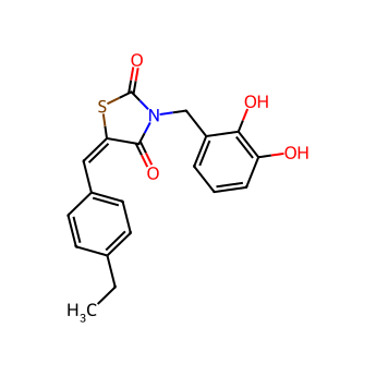 CCc1ccc(C=C2SC(=O)N(Cc3cccc(O)c3O)C2=O)cc1